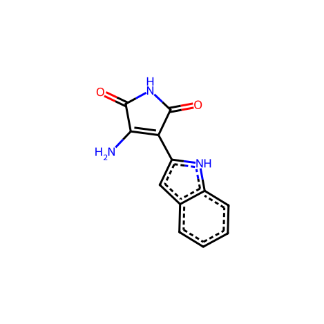 NC1=C(c2cc3ccccc3[nH]2)C(=O)NC1=O